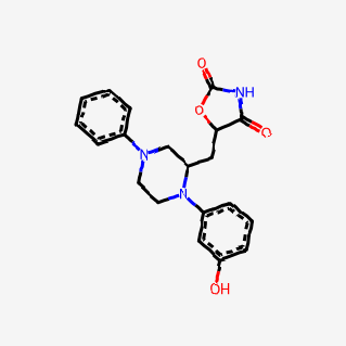 O=C1NC(=O)C(CC2CN(c3ccccc3)CCN2c2cccc(O)c2)O1